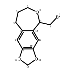 BrCC1OCCCc2cc3c(cc21)OCO3